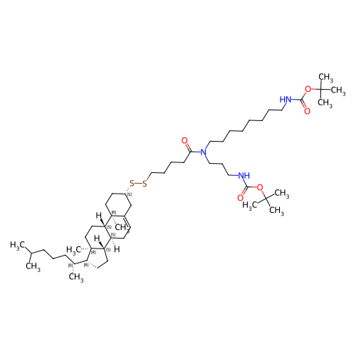 CC(C)CCC[C@@H](C)[C@H]1CC[C@H]2[C@@H]3CC=C4C[C@@H](SSCCCCC(=O)N(CCCCCCCCNC(=O)OC(C)(C)C)CCCNC(=O)OC(C)(C)C)CC[C@]4(C)[C@H]3CC[C@]12C